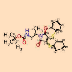 CC(CNC(=O)OC(C)(C)C)N1C(=O)C(Sc2ccccc2)=C(Sc2ccccc2)C1=O